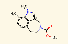 Cc1ccc2c3c1N(C)C[C@@H]3CN(C(=O)OC(C)(C)C)CC2